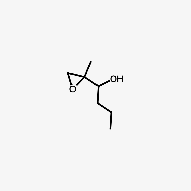 CCCC(O)C1(C)CO1